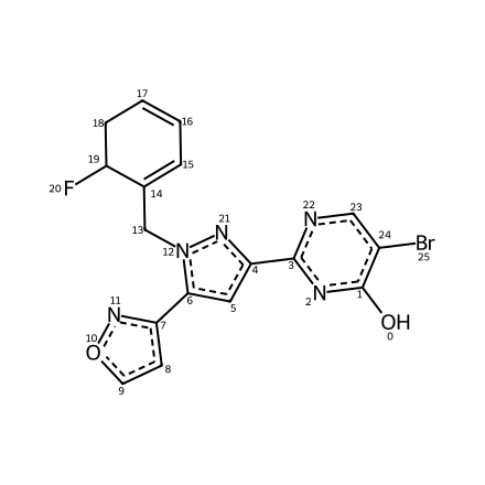 Oc1nc(-c2cc(-c3ccon3)n(CC3=CC=CCC3F)n2)ncc1Br